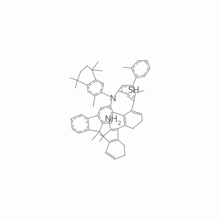 Cc1ccccc1-c1cc2c(S)c(c1C)C1=CCCC(C3=C(N)C(C)(C)C4=C3CCC=C4)=C1c1cc3c(cc1N2c1cc2c(cc1C)C(C)(C)CCC2(C)C)-c1ccccc1C3(C)C